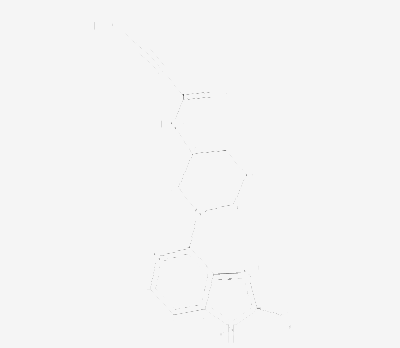 CC#CC(=O)NC1CCCN(c2nccc3[nH]c(C)nc23)C1